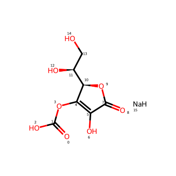 O=C(O)OC1=C(O)C(=O)O[C@@H]1[C@@H](O)CO.[NaH]